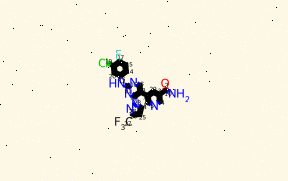 NC(=O)c1cncc(-c2cnc(Nc3ccc(F)c(Cl)c3)nc2-n2ccc(C(F)(F)F)n2)c1